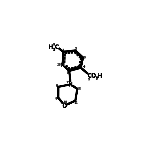 Cc1ccc(C(=O)O)c(N2CCOCC2)n1